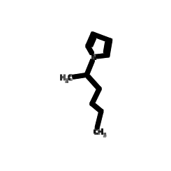 CCCCC(C)n1cccc1